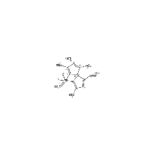 CCCCC1=CC(C(C)(C)C)=[C]([Ti]([CH3])([CH3])(=[SiH2])[C]2=C(C(C)(C)C)C=C(CCCC)C2)C1.Cl.Cl